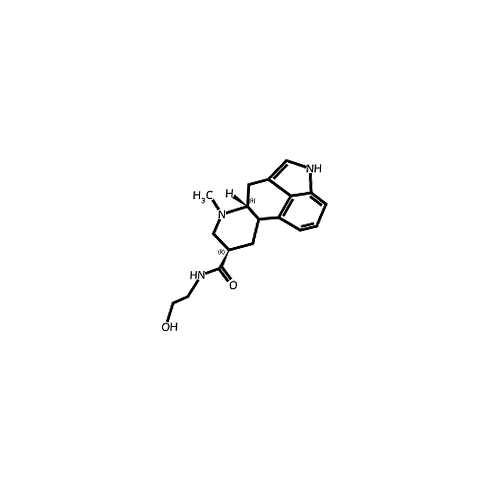 CN1C[C@H](C(=O)NCCO)CC2c3cccc4[nH]cc(c34)C[C@H]21